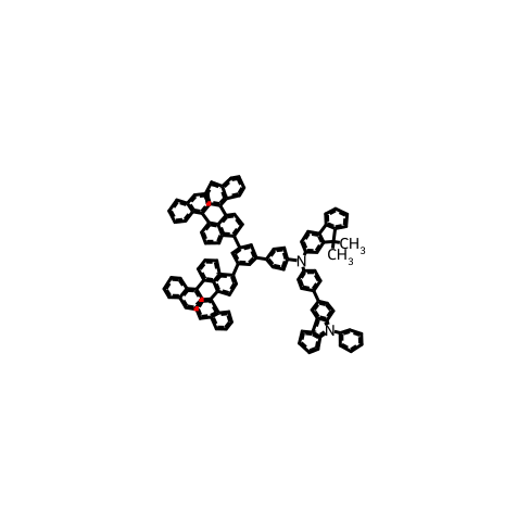 CC1(C)c2ccccc2-c2ccc(N(c3ccc(-c4cc(-c5ccc(-c6cccc7ccccc67)c6c(-c7cccc8ccccc78)cccc56)cc(-c5ccc(-c6cccc7ccccc67)c6c(-c7cccc8ccccc78)cccc56)c4)cc3)c3ccc(-c4ccc5c(c4)c4ccccc4n5-c4ccccc4)cc3)cc21